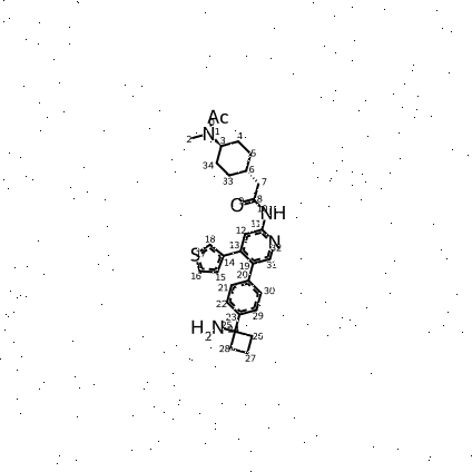 CC(=O)N(C)[C@H]1CC[C@H](CC(=O)Nc2cc(-c3ccsc3)c(-c3ccc(C4(N)CCC4)cc3)cn2)CC1